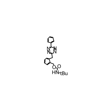 CC(C)(C)NC(=O)OCc1ccccc1Cc1nnc(-c2ccccc2)nn1